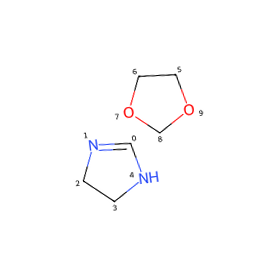 C1=NCCN1.C1COCO1